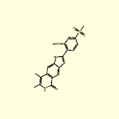 COc1cc(S(C)(=O)=O)ccc1-c1nc2cc3c(=O)[nH]c(C)c(C)c3cc2[nH]1